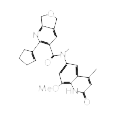 COc1cc(N(C)C(=O)c2cc3c(nc2C2=CCCC2)COC3)cc2c(C)cc(=O)[nH]c12